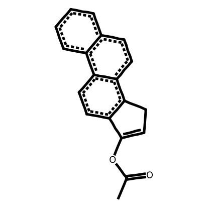 CC(=O)OC1=CCc2c1ccc1c2ccc2ccccc21